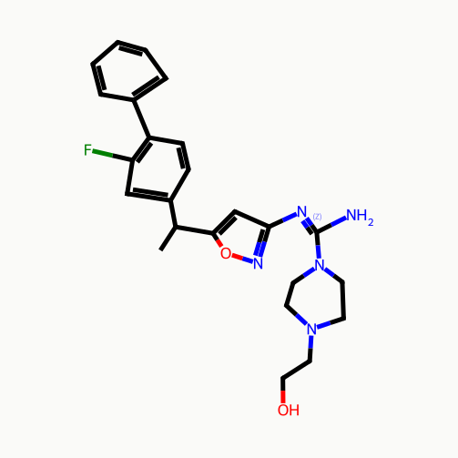 CC(c1ccc(-c2ccccc2)c(F)c1)c1cc(/N=C(/N)N2CCN(CCO)CC2)no1